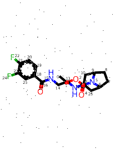 CCOC(=O)N1C2CCC1CC(NCCNC(=O)c1ccc(F)c(F)c1)C2